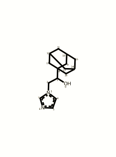 OC(Cn1ccnc1)C12CC3CC(CC(C3)C1)C2